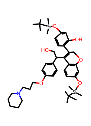 CC(C)(C)[Si](C)(C)Oc1ccc(C2=C(C(CO)c3ccc(OCCCN4CCCCC4)cc3)c3ccc(O[Si](C)(C)C(C)(C)C)cc3OC2)c(O)c1